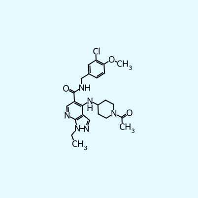 CCn1ncc2c(NC3CCN(C(C)=O)CC3)c(C(=O)NCc3ccc(OC)c(Cl)c3)cnc21